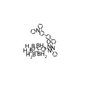 Bc1c(B)c(B)c(-c2ccc(-c3nc(-c4ccccc4)nc(-c4cccc5c4oc4cc(-c6ccc7c(c6)c6ccccc6n7-c6ccccc6)ccc45)n3)cc2)c(B)c1B